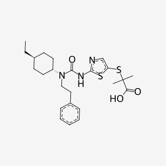 CC[C@H]1CC[C@H](N(CCc2ccccc2)C(=O)Nc2ncc(SC(C)(C)C(=O)O)s2)CC1